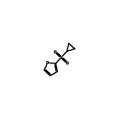 O=S(=O)(c1ccco1)C1CC1